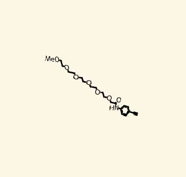 C#Cc1ccc(NC(=O)COCCOCCOCCOCCOCCOC)cc1